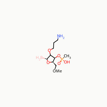 B[C@@H]1O[C@H](COC)[C@H](OP(C)(=O)O)C1OCCCN